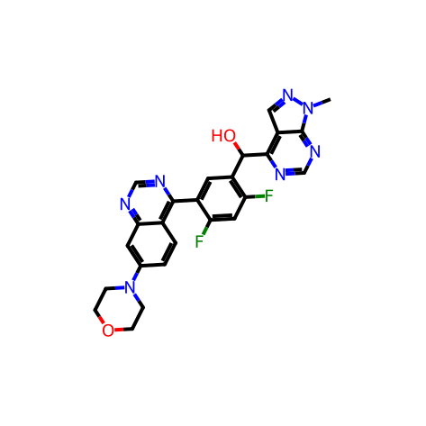 Cn1ncc2c(C(O)c3cc(-c4ncnc5cc(N6CCOCC6)ccc45)c(F)cc3F)ncnc21